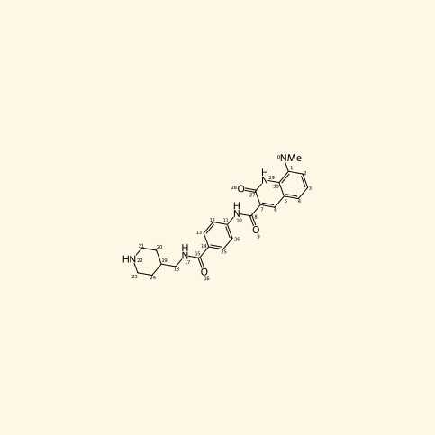 CNc1cccc2cc(C(=O)Nc3ccc(C(=O)NCC4CCNCC4)cc3)c(=O)[nH]c12